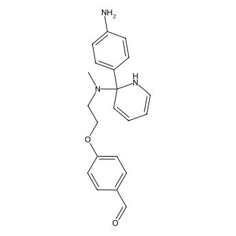 CN(CCOc1ccc(C=O)cc1)C1(c2ccc(N)cc2)C=CC=CN1